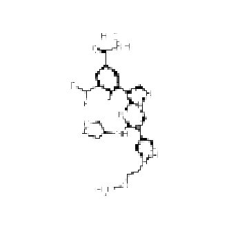 CNC(=O)c1cc(-c2cnn3cc(-c4cnn(CCOC)c4)c(NC4CCOC4)nc23)c(F)c(C(F)F)c1